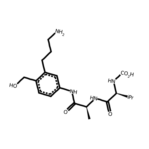 CC(C)[C@H](NC(=O)O)C(=O)N[C@@H](C)C(=O)Nc1ccc(CO)c(CCCN)c1